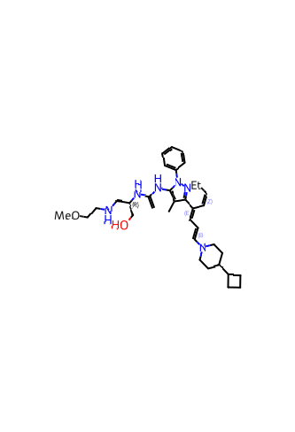 C=C(Nc1c(C)c(C(/C=C\CC)=C/C=C/N2CCC(C3CCC3)CC2)nn1-c1ccccc1)N[C@@H](CO)CNCCOC